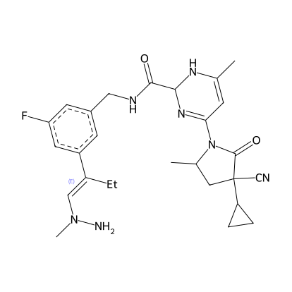 CC/C(=C\N(C)N)c1cc(F)cc(CNC(=O)C2N=C(N3C(=O)C(C#N)(C4CC4)CC3C)C=C(C)N2)c1